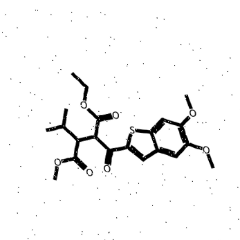 CCOC(=O)C(C(=O)c1cc2cc(OC)c(OC)cc2s1)C(C(=O)OC)C(C)C